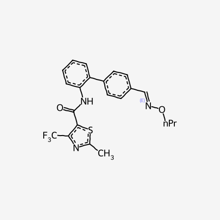 CCCO/N=C/c1ccc(-c2ccccc2NC(=O)c2sc(C)nc2C(F)(F)F)cc1